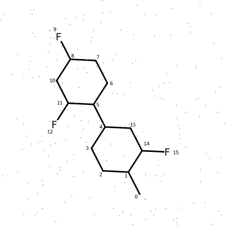 CC1CCC(C2CCC(F)CC2F)CC1F